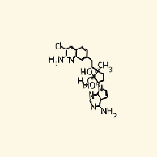 C[C@]1(CCc2ccc3cc(Cl)c(N)nc3c2)CC[C@@](O)(n2ccc3c(N)ncnc32)[C@]1(C)O